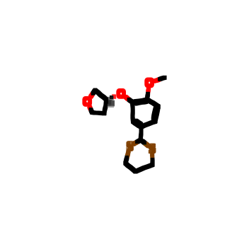 COc1ccc(C2SCCCS2)cc1O[C@@H]1CCOC1